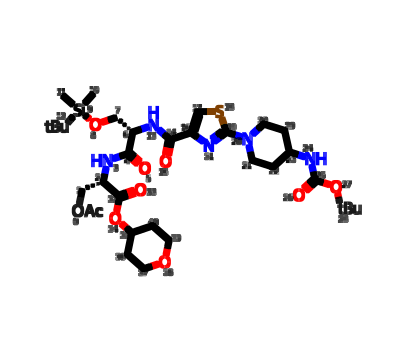 CC(=O)OC[C@H](NC(=O)[C@H](CO[Si](C)(C)C(C)(C)C)NC(=O)c1csc(N2CCC(NC(=O)OC(C)(C)C)CC2)n1)C(=O)OC1CCOCC1